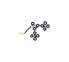 SCCCCCCCCOc1ccccc1-n1c2ccc(-c3ccc([Si](c4ccccc4)(c4ccccc4)c4ccccc4)cc3)cc2c2cc(-c3ccc([Si](c4ccccc4)(c4ccccc4)c4ccccc4)cc3)ccc21